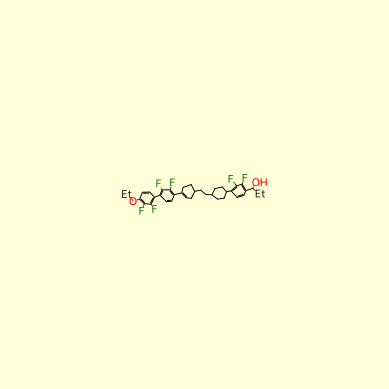 CCOc1ccc(-c2ccc(C3=CCC(CCC4CCC(c5ccc(C(O)CC)c(F)c5F)CC4)CC3)c(F)c2F)c(F)c1F